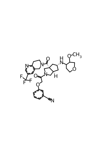 COC1COCCC1N[C@@H]1C[C@H]2CN(C(=O)COc3cccc(C#N)c3)C[C@@]2(C(=O)N2CCc3ncc(C(F)(F)F)cc3C2)C1